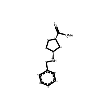 COC(=O)[C@@H]1CC[C@H](NCc2ccccc2)C1